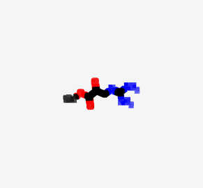 CC(C)(C)OC(=O)C(=O)CN=C(N)N